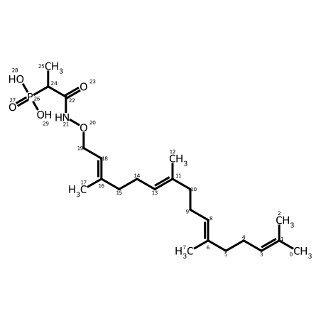 CC(C)=CCCC(C)=CCCC(C)=CCCC(C)=CCONC(=O)C(C)P(=O)(O)O